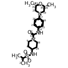 CC(C)S(=O)(=O)NC1CCN(C(=O)Nc2ccc(N3C[C@@H](C)O[C@@H](C)C3)cc2)CC1